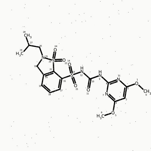 COc1cc(OC)nc(NC(=O)NS(=O)(=O)c2cccc3c2S(=O)(=O)N(CC(C)C)C3)n1